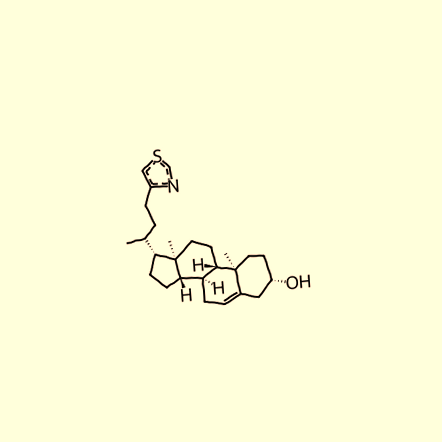 CC(CCc1cscn1)[C@H]1CC[C@H]2[C@@H]3CC=C4C[C@@H](O)CC[C@]4(C)[C@H]3CC[C@]12C